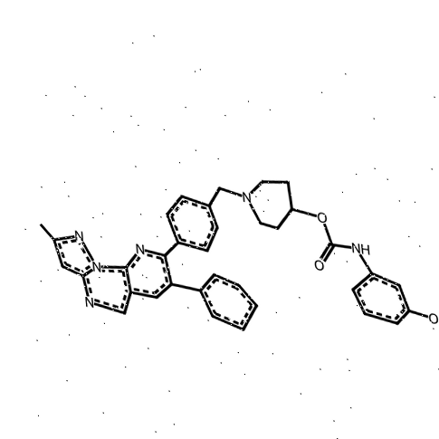 Cc1cc2ncc3cc(-c4ccccc4)c(-c4ccc(CN5CCC(OC(=O)Nc6cccc(O)c6)CC5)cc4)nc3n2n1